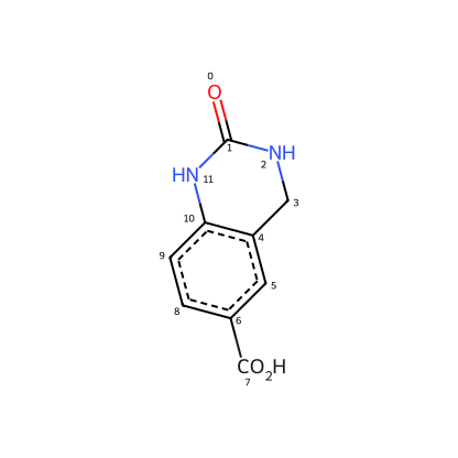 O=C1NCc2cc(C(=O)O)ccc2N1